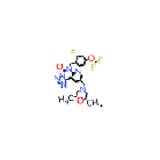 CC1CN(Cc2cnc3c(c2)c2ncnn2c(=O)n3Cc2ccc(OC(F)F)cc2F)CC(C)O1